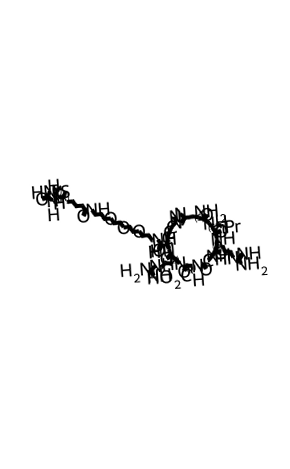 CC(C)C[C@@H]1NC(=O)[C@@H](N)Cc2cn(nn2)CCC[C@@H](C(=O)NCCCOCCOCCOCCCNC(=O)CCCC[C@H]2SC[C@H]3NC(=O)N[C@H]32)NC(=O)[C@H](CCCNC(=N)N)NC(=O)[C@H](CC(=O)O)NC(=O)CNC(=O)[C@H](CCCNC(=N)N)NC1=O